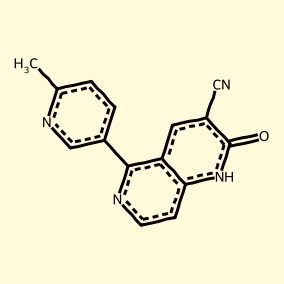 Cc1ccc(-c2nccc3[nH]c(=O)c(C#N)cc23)cn1